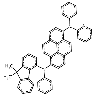 CC1(C)c2ccccc2-c2c(N(c3ccccc3)c3ccc4ccc5c(N(c6ccccc6)c6ccccn6)ccc6ccc3c4c65)cccc21